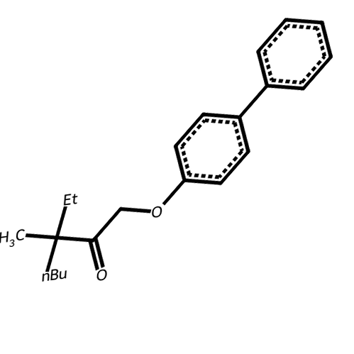 CCCCC(C)(CC)C(=O)COc1ccc(-c2ccccc2)cc1